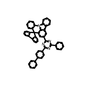 c1ccc(-c2ccc(-c3nc(-c4ccccc4)nc(-c4cc5c6c(c4)c4ccccc4n6-c4ccccc4C54c5ccccc5-c5ccccc54)n3)cc2)cc1